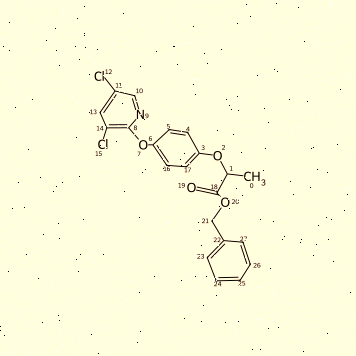 CC(Oc1ccc(Oc2ncc(Cl)cc2Cl)cc1)C(=O)OCc1ccccc1